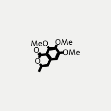 COc1cc2c(c(OC)c1OC)C(=O)OC(C)C2